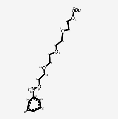 CCCCOCCOCCOCCOCCONc1ccccc1